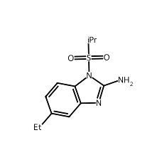 CCc1ccc2c(c1)nc(N)n2S(=O)(=O)C(C)C